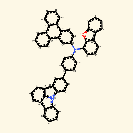 c1ccc2c(c1)oc1c(N(c3ccc(-c4ccc5c(c4)c4cccc6c7ccccc7n5c64)cc3)c3ccc4c5ccccc5c5ccccc5c4c3)cccc12